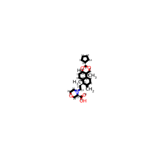 C=C1CCC2[C@]3(C)CO[C@@H](C4CCCC4)O[C@@H]3CC[C@@]2(C)[C@@H]1CCN1CCOC[C@@H]1C(=O)O